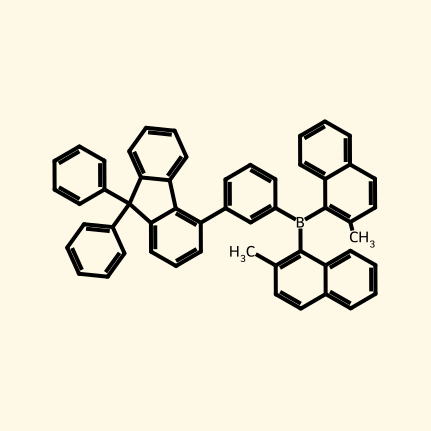 Cc1ccc2ccccc2c1B(c1cccc(-c2cccc3c2-c2ccccc2C3(c2ccccc2)c2ccccc2)c1)c1c(C)ccc2ccccc12